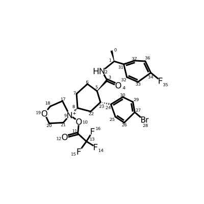 C[C@H](NC(=O)[C@@H]1CC[C@@H]([N+]2(OC(=O)C(F)(F)F)CCOCC2)C[C@H]1c1ccc(Br)cc1)c1ccc(F)cc1